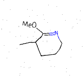 COC1=NCCCC1C